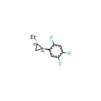 CC[C@H]1C[C@@H]1c1cc(F)c(F)cc1F